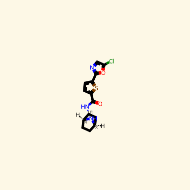 O=C(N[C@@H]1C[C@H]2CC[C@@H]1N2)c1ccc(-c2ncc(Cl)o2)s1